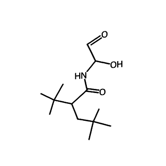 CC(C)(C)CC(C(=O)NC(O)C=O)C(C)(C)C